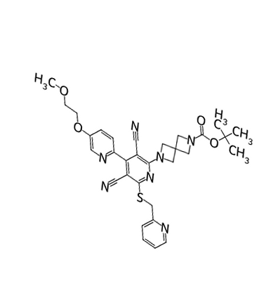 COCCOc1ccc(-c2c(C#N)c(SCc3ccccn3)nc(N3CC4(CN(C(=O)OC(C)(C)C)C4)C3)c2C#N)nc1